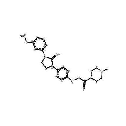 CN1CCN(C(=O)COc2ccc(N3CCN(c4cccc(OC=O)c4)C3=O)cc2)CC1